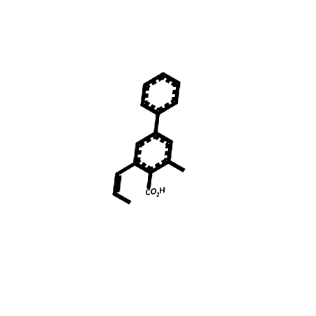 C/C=C\c1cc(-c2ccccc2)cc(C)c1C(=O)O